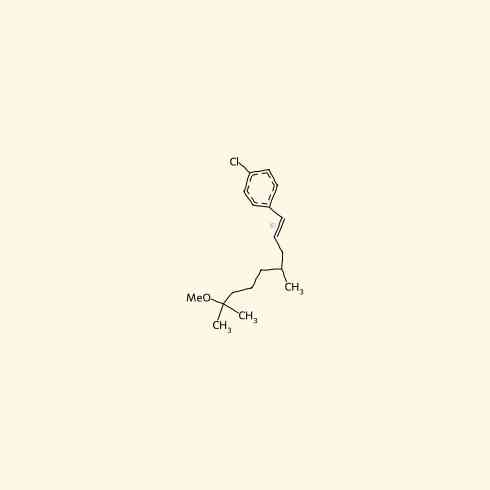 COC(C)(C)CCCC(C)C/C=C/c1ccc(Cl)cc1